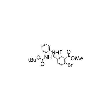 COC(=O)c1c(Br)ccc(CNc2ccccc2NC(=O)OC(C)(C)C)c1F